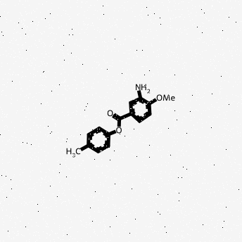 COc1ccc(C(=O)Oc2ccc(C)cc2)cc1N